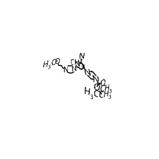 COCCCN1CCCN(c2cc(N3CCN(C(=O)OC(C)(C)C)CC3)cc(C#N)n2)[C@@H](C)C1